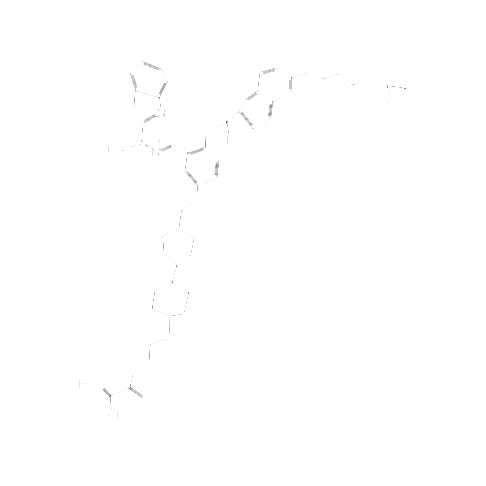 C=C(C)C(=O)OCCOC1CCC(C2CCC(COc3ccc(OC(F)(F)c4ccc5cc(OCCCOC6CO6)ccc5c4)c(/C=N/N(CCCC)c4nc5ccccc5s4)c3)CC2)CC1